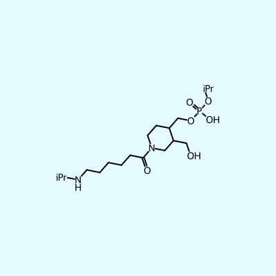 CC(C)NCCCCCC(=O)N1CCC(COP(=O)(O)OC(C)C)C(CO)C1